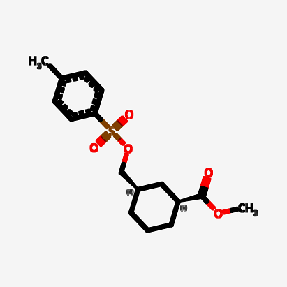 COC(=O)[C@H]1CCC[C@@H](COS(=O)(=O)c2ccc(C)cc2)C1